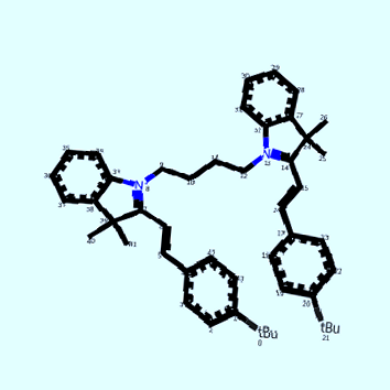 CC(C)(C)c1ccc(/C=C/C2=[N+](CCCC[N+]3=C(/C=C/c4ccc(C(C)(C)C)cc4)C(C)(C)c4ccccc43)c3ccccc3C2(C)C)cc1